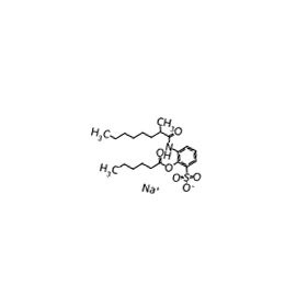 CCCCCCC(C)C(=O)Nc1cccc(S(=O)(=O)[O-])c1OC(=O)CCCCC.[Na+]